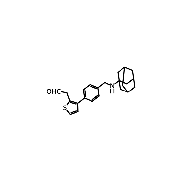 O=CCc1sccc1-c1ccc(CNC23CC4CC(CC(C4)C2)C3)cc1